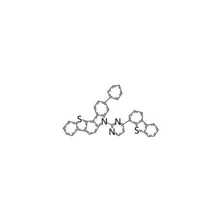 c1ccc(-c2ccc3c4c5sc6ccccc6c5ccc4n(-c4nccc(-c5cccc6c5sc5ccccc56)n4)c3c2)cc1